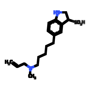 C=CCN(C)CCCCCc1ccc2c(c1)C(S(=O)(=O)O)CN2